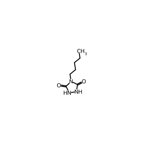 CCCCCn1c(=O)[nH][nH]c1=O